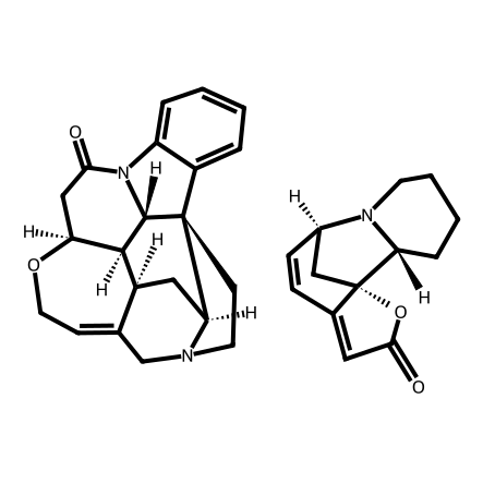 O=C1C=C2C=C[C@@H]3C[C@@]2(O1)[C@H]1CCCCN31.O=C1C[C@@H]2OCC=C3CN4CC[C@]56c7ccccc7N1[C@H]5[C@H]2[C@H]3C[C@H]46